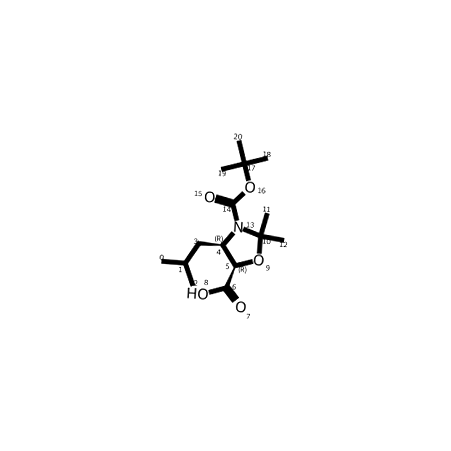 CC(C)C[C@@H]1[C@H](C(=O)O)OC(C)(C)N1C(=O)OC(C)(C)C